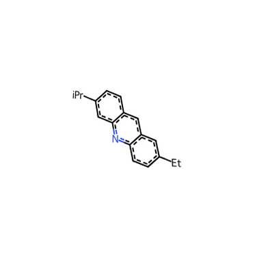 CCc1ccc2nc3cc(C(C)C)ccc3cc2c1